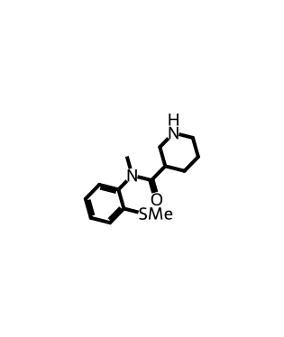 CSc1ccccc1N(C)C(=O)C1CCCNC1